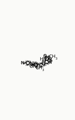 CCN1C(=O)Nc2c(F)c(CN3CCN(c4ccc(C(=O)NC5CCC(C#N)CC5)nc4C)CC3)cc3ncnc1c23